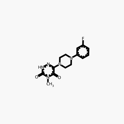 Cn1c(=O)[nH]nc(N2CCN(c3cccc(F)c3)CC2)c1=O